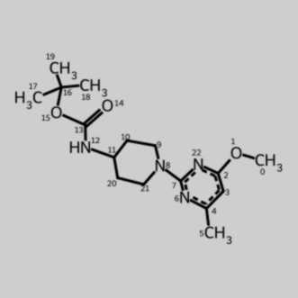 COc1cc(C)nc(N2CCC(NC(=O)OC(C)(C)C)CC2)n1